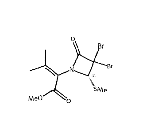 COC(=O)C(=C(C)C)N1C(=O)C(Br)(Br)[C@@H]1SC